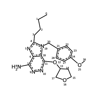 CCCCc1nc2c(N)nnc(OC3CCOC3)c2n1Cc1ccc(OC)cc1